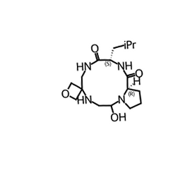 CC(C)C[C@@H]1NC(=O)[C@H]2CCCN2C(O)CNC2(CNC1=O)COC2